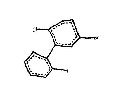 Clc1ccc(Br)cc1-c1ccccc1I